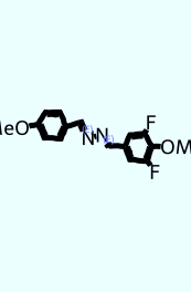 COc1ccc(/C=N/N=C/c2cc(F)c(OC)c(F)c2)cc1